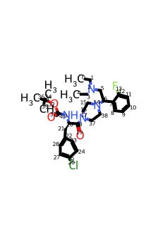 CCN(CC)CC(c1ccccc1F)N1CCN(C(=O)[C@@H](Cc2ccc(Cl)cc2)NC(=O)OC(C)(C)C)CC1